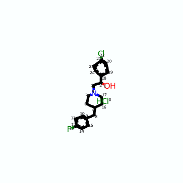 Cl.OC(CN1CCC(Cc2ccc(F)cc2)CC1)c1ccc(Cl)cc1